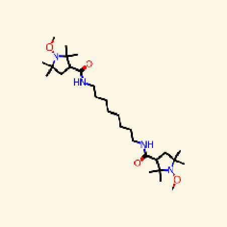 CON1C(C)(C)CC(C(=O)NCCCCCCCCNC(=O)C2CC(C)(C)N(OC)C2(C)C)C1(C)C